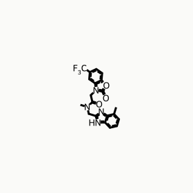 Cc1cccc2[nH]c(CN(C)C(=O)Cn3c(=O)oc4ccc(C(F)(F)F)cc43)nc12